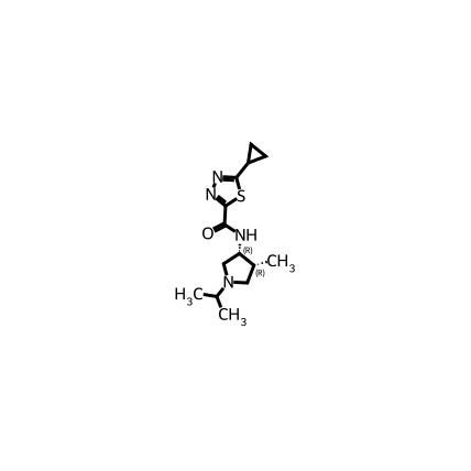 CC(C)N1C[C@@H](C)[C@@H](NC(=O)c2nnc(C3CC3)s2)C1